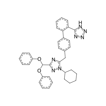 c1ccc(OC(Oc2ccccc2)c2nc(Cc3ccc(-c4ccccc4-c4nnn[nH]4)cc3)n(C3CCCCC3)n2)cc1